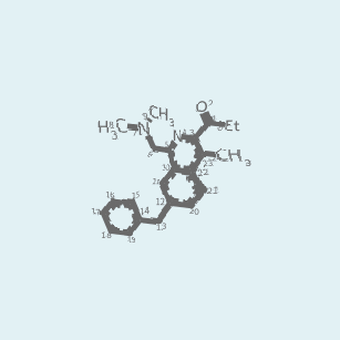 CCC(=O)c1nc(CN(C)C)c2cc(Cc3ccccc3)ccc2c1C